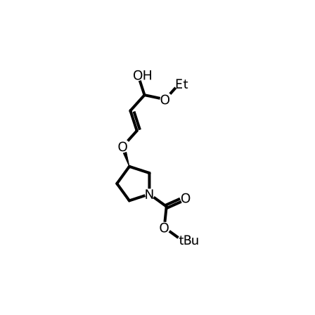 CCOC(O)/C=C/O[C@@H]1CCN(C(=O)OC(C)(C)C)C1